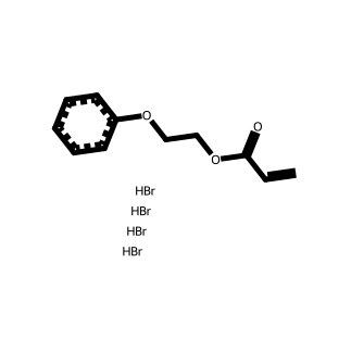 Br.Br.Br.Br.C=CC(=O)OCCOc1ccccc1